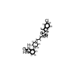 Cc1c(S(=O)(=O)NCCCN2CCN(c3cccc4[nH]c(=O)[nH]c34)CC2)sc2ccc(Cl)cc12